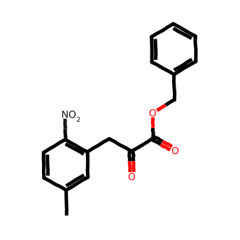 Cc1ccc([N+](=O)[O-])c(CC(=O)C(=O)OCc2ccccc2)c1